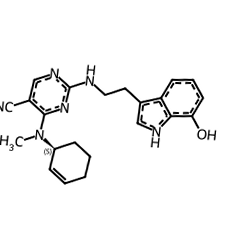 CN(c1nc(NCCc2c[nH]c3c(O)cccc23)ncc1C#N)[C@@H]1C=CCCC1